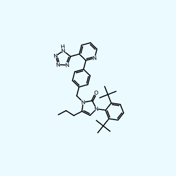 CCCc1cn(-c2c(C(C)(C)C)cccc2C(C)(C)C)c(=O)n1Cc1ccc(-c2ncccc2-c2nnn[nH]2)cc1